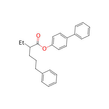 CCC(CCCc1ccccc1)C(=O)Oc1ccc(-c2ccccc2)cc1